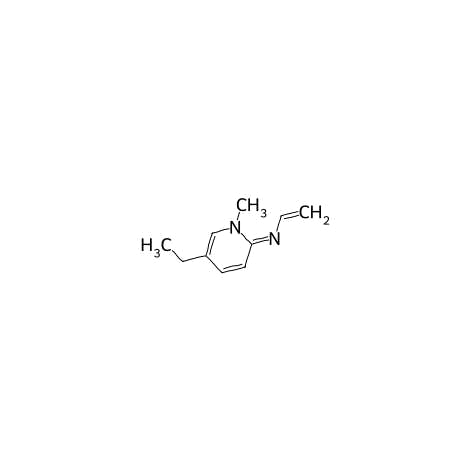 C=C/N=c1/ccc(CC)cn1C